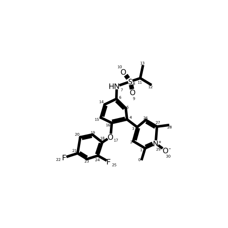 Cc1cc(-c2cc(NS(=O)(=O)C(C)C)ccc2Oc2ccc(F)cc2F)cc(C)[n+]1[O-]